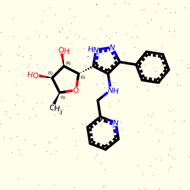 C[C@@H]1O[C@@H](c2[nH]nc(-c3ccccc3)c2NCc2ccccn2)[C@H](O)[C@@H]1O